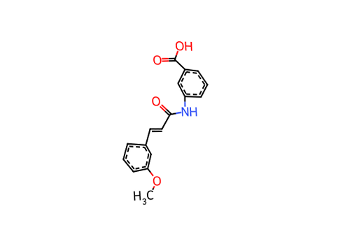 COc1cccc(/C=C/C(=O)Nc2cccc(C(=O)O)c2)c1